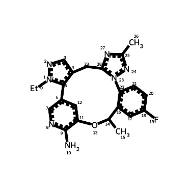 CCn1ncc2c1-c1cnc(N)c(c1)OC(C)c1cc(F)ccc1-n1nc(C)nc1C2